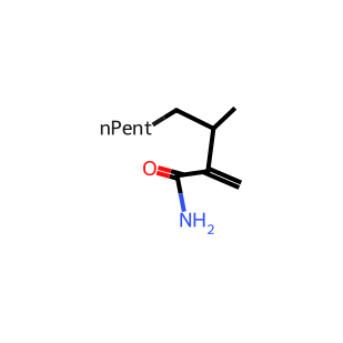 C=C(C(N)=O)C(C)CCCCCC